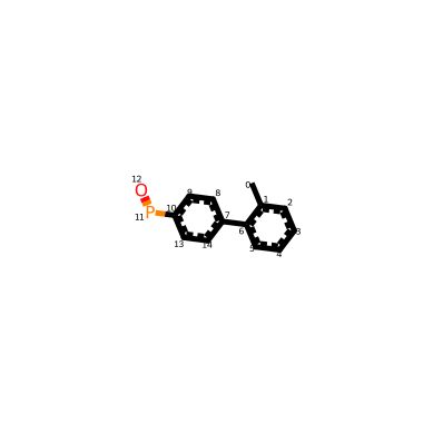 Cc1ccccc1-c1ccc(P=O)cc1